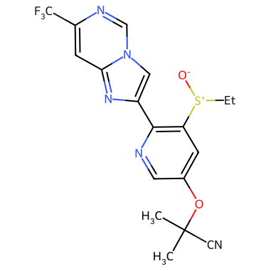 CC[S+]([O-])c1cc(OC(C)(C)C#N)cnc1-c1cn2cnc(C(F)(F)F)cc2n1